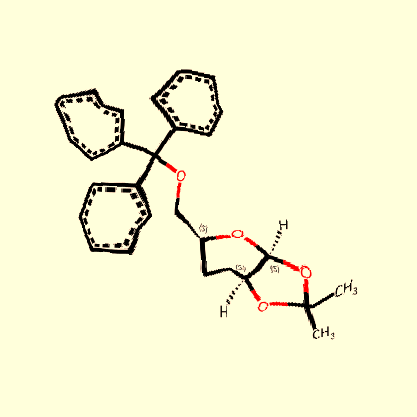 CC1(C)O[C@@H]2O[C@H](COC(c3ccccc3)(c3ccccc3)c3ccccc3)C[C@@H]2O1